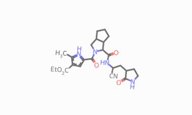 CCOC(=O)c1cc(C(=O)N2CC3CCCC3C2C(=O)NC(C#N)CC2CCNC2=O)[nH]c1C